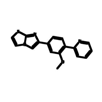 COc1cc(-c2cn3ccsc3n2)ccc1-c1ccccn1